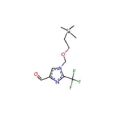 C[Si](C)(C)CCOCn1cc(C=O)nc1C(F)(F)F